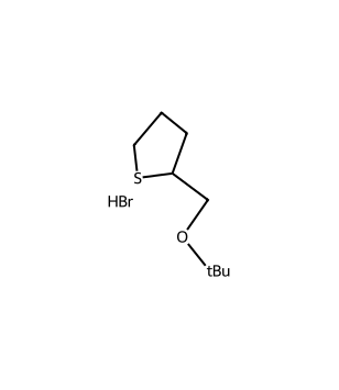 Br.CC(C)(C)OCC1CCCS1